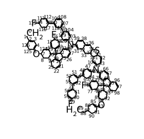 C=CC1=CC=C(OC2CCC(C3(C4=CCC(F)C=C4)C4=C(C=CCC4)C4C=CC(N(C5=CC6CC7C(C=C6C=C5)SC5C=CC(N(C6=CC=C(C8=CCCC(C9=CC=C(F)CC9)=C8)CC6)c6ccc8c(c6)C(C6C=CC(F)=CC6)(C6C=CC(OC9=CCC(C=C)CC9)CC6)C6=C8C=CCC6)=CC57)c5ccc(-c6cccc(C7=CCC(F)CC7)c6)cc5)=CC43)CC2)CC1